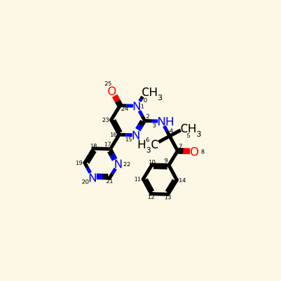 Cn1c(NC(C)(C)C(=O)c2ccccc2)nc(-c2ccncn2)cc1=O